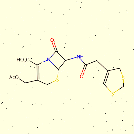 CC(=O)OCC1=C(C(=O)O)N2C(=O)C(NC(=O)CC3=CSCSC3)C2SC1